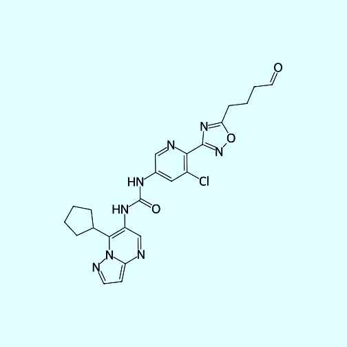 O=CCCCc1nc(-c2ncc(NC(=O)Nc3cnc4ccnn4c3C3CCCC3)cc2Cl)no1